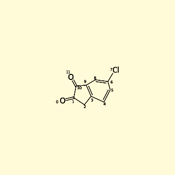 O=C1Cc2ccc(Cl)cc2C1=O